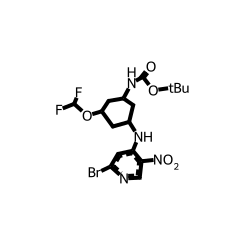 CC(C)(C)OC(=O)NC1CC(Nc2cc(Br)ncc2[N+](=O)[O-])CC(OC(F)F)C1